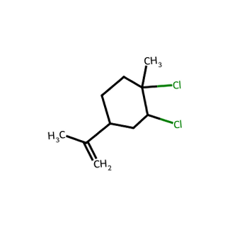 C=C(C)C1CCC(C)(Cl)C(Cl)C1